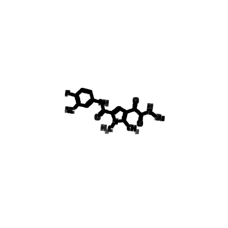 CCC(C)NC(=O)C(=O)c1cc(C(=O)Nc2ccc(F)c(C#N)c2)n(C)c1C